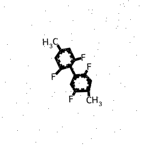 Cc1cc(F)c(-c2cc(F)c(C)cc2F)c(F)c1